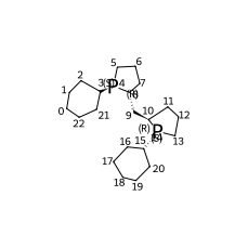 C1CCC([P@@]2CCC[C@@H]2C[C@H]2CCC[P@]2C2CCCCC2)CC1